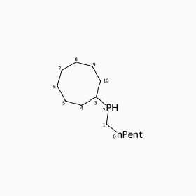 CCCCCCPC1CCCCCCC1